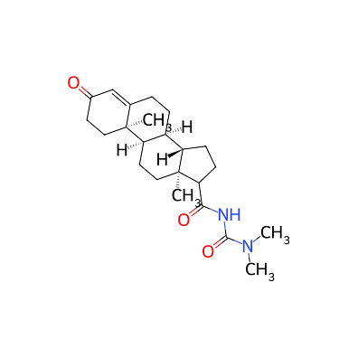 CN(C)C(=O)NC(=O)C1CC[C@H]2[C@@H]3CCC4=CC(=O)CC[C@]4(C)[C@@H]3CC[C@]12C